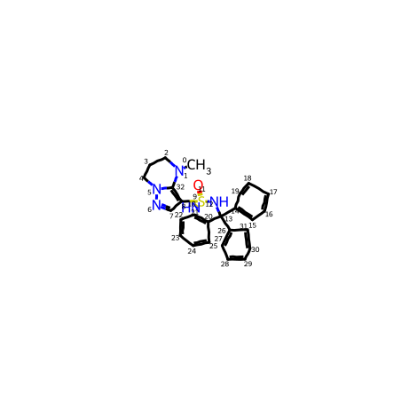 CN1CCCn2ncc(S(=N)(=O)NC(c3ccccc3)(c3ccccc3)c3ccccc3)c21